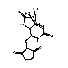 N=C1NC2[C@H](CN3C(=O)CCC3=O)NC(=N)N3CCC(O)(O)[C@@]23N1